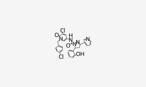 O=C(Nc1cc(Cl)c(=O)n(Cc2ccc(Cl)cc2)c1)N1N=C(c2cccnc2)CC1c1ccccc1O